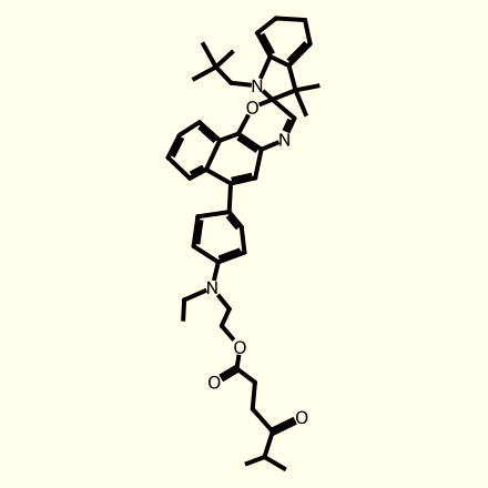 CCN(CCOC(=O)CCC(=O)C(C)C)c1ccc(-c2cc3c(c4ccccc24)OC2(C=N3)N(CC(C)(C)C)C3=CCCC=C3C2(C)C)cc1